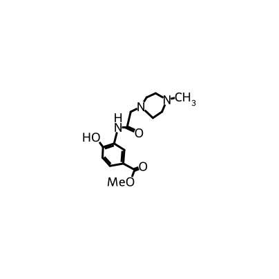 COC(=O)c1ccc(O)c(NC(=O)CN2CCN(C)CC2)c1